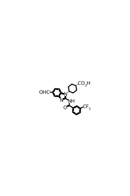 O=Cc1ccc2c(c1)nc(NC(=O)c1cccc(C(F)(F)F)c1)n2[C@H]1CC[C@@H](C(=O)O)CC1